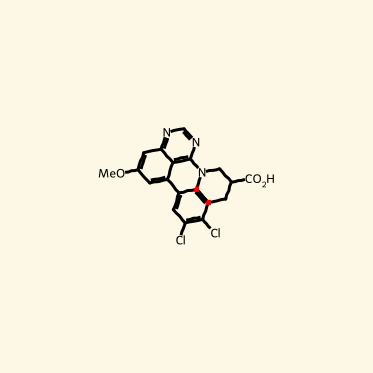 COc1cc(-c2ccc(Cl)c(Cl)c2)c2c(N3CCCC(C(=O)O)C3)ncnc2c1